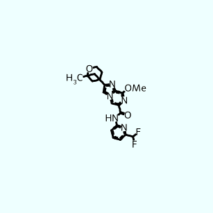 COc1nc(C(=O)Nc2cccc(C(F)F)n2)cn2cc(C34CCOC(C)(C3)C4)nc12